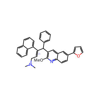 COc1nc2ccc(-c3ccco3)cc2cc1C(/C(=C/CN(C)C)c1cccc2ccccc12)c1ccccc1